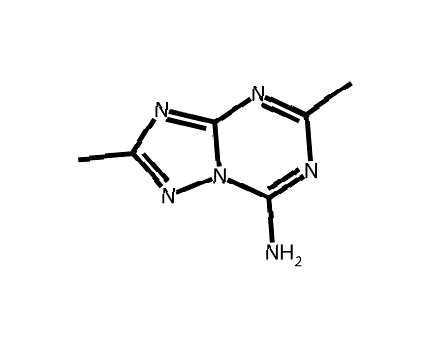 Cc1nc(N)n2nc(C)nc2n1